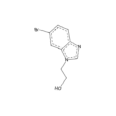 OCCn1cnc2ccc(Br)cc21